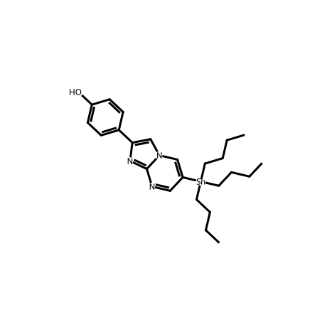 CCC[CH2][Sn]([CH2]CCC)([CH2]CCC)[c]1cnc2nc(-c3ccc(O)cc3)cn2c1